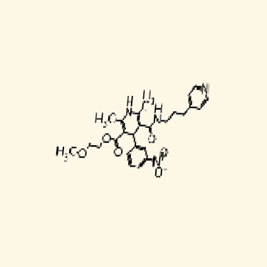 COCCOC(=O)C1=C(C)NC(C)=C(C(=O)NCCCc2ccncc2)C1c1cccc([N+](=O)[O-])c1